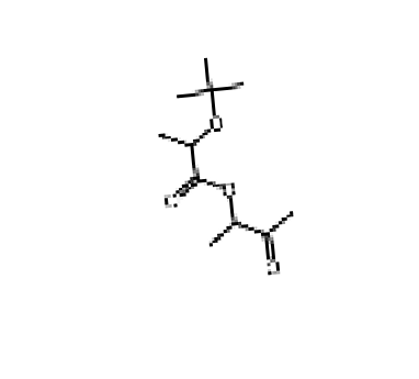 CC(=O)C(C)OC(=O)C(C)OC(C)(C)C